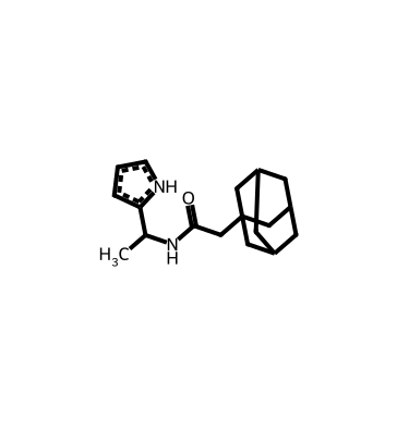 CC(NC(=O)CC12CC3CC(CC(C3)C1)C2)c1ccc[nH]1